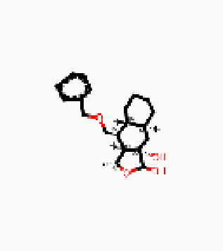 C[C@H]1OC(O)[C@]2(O)C[C@@H]3CCCC[C@H]3[C@H](COCc3ccccc3)[C@H]12